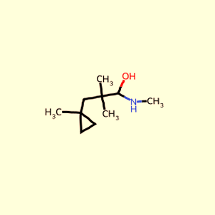 CNC(O)C(C)(C)CC1(C)CC1